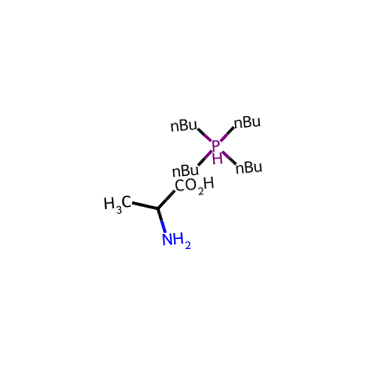 CC(N)C(=O)O.CCCC[PH](CCCC)(CCCC)CCCC